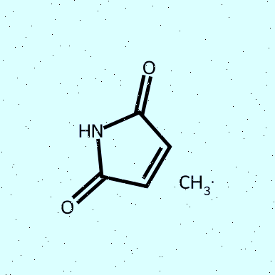 O=C1C=CC(=O)N1.[CH3]